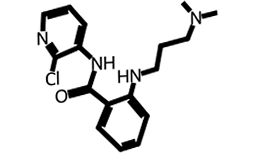 CN(C)CCCNc1ccccc1C(=O)Nc1cccnc1Cl